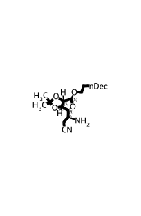 CCCCCCCCCCCCO[C@H]1O[C@H]([C@@H](N)CC#N)[C@@H]2OC(C)(C)O[C@H]12